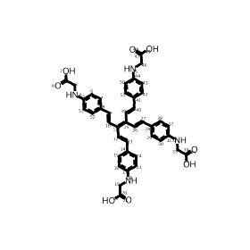 O=C(O)CNc1ccc(C=CC(C=Cc2ccc(NCC(=O)O)cc2)=C(C=Cc2ccc(NCC(=O)O)cc2)C=Cc2ccc(NCC(=O)O)cc2)cc1